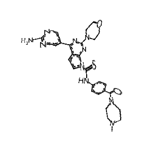 CN1CCN(C(=O)c2ccc(NC(=S)n3ccc4c(-c5cnc(N)nc5)nc(N5CCOCC5)nc43)cc2)CC1